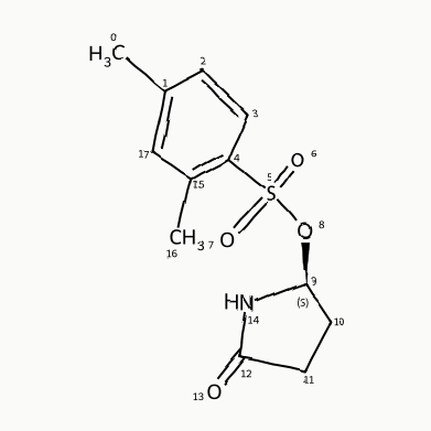 Cc1ccc(S(=O)(=O)O[C@H]2CCC(=O)N2)c(C)c1